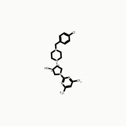 O[C@@H]1CN(c2nc(C(F)(F)F)cc(C(F)(F)F)n2)C[C@H]1N1CCN(Cc2ccc(Cl)cc2)CC1